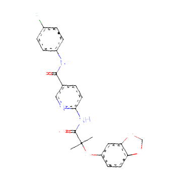 CC(C)(Oc1ccc2c(c1)OCO2)C(=O)Nc1ccc(C(=O)Nc2ccc(F)cc2)cn1